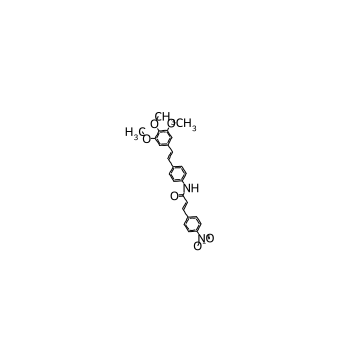 COc1cc(/C=C/c2ccc(NC(=O)/C=C/c3ccc([N+](=O)[O-])cc3)cc2)cc(OC)c1OC